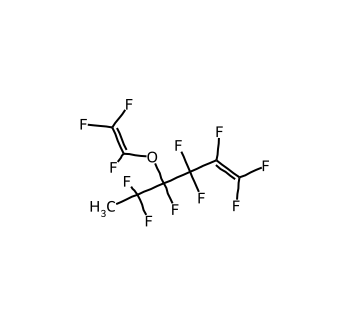 CC(F)(F)C(F)(OC(F)=C(F)F)C(F)(F)C(F)=C(F)F